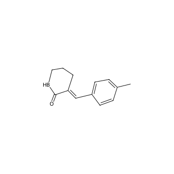 Cc1ccc(C=C2CCCBC2=O)cc1